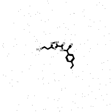 CCc1ccc(C(C#N)NC(=O)c2nc(CCN)n[nH]2)cc1